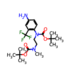 CN(CCN(C(=O)OC(C)(C)C)c1ccc(N)cc1C(F)(F)F)C(=O)OC(C)(C)C